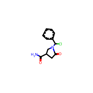 NC(=O)C1CC(=O)N(C(Cl)c2ccccc2)C1